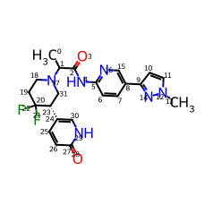 CC(C(=O)Nc1ccc(-c2ccn(C)n2)cn1)N1CCC(F)(F)[C@@H](c2ccc(=O)[nH]c2)C1